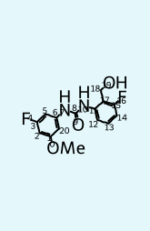 COc1cc(F)cc(NC(=O)Nc2cccc(F)c2CO)c1